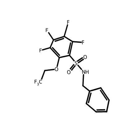 O=S(=O)(NCc1ccccc1)c1c(F)c(F)c(F)c(F)c1OCC(F)(F)F